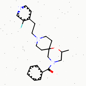 CC1CN(C(=O)c2ccccc2)CC2(CCN(CCc3ccncc3F)CC2)O1